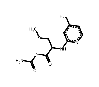 CSCC(Nc1cc(C)ccn1)C(=O)NC(N)=O